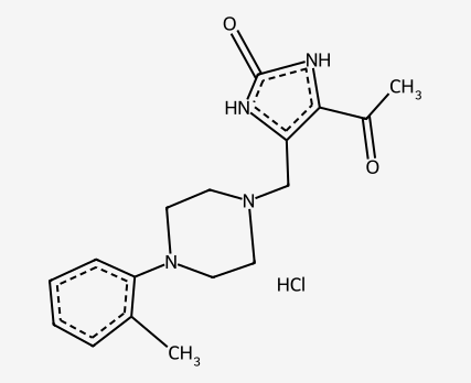 CC(=O)c1[nH]c(=O)[nH]c1CN1CCN(c2ccccc2C)CC1.Cl